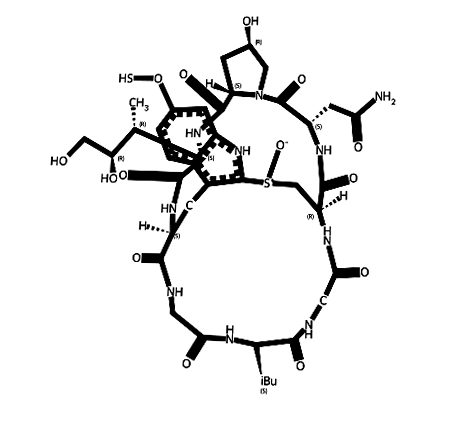 CC[C@H](C)C1NC(=O)CNC(=O)[C@@H]2Cc3c([nH]c4cc(OS)ccc34)[S+]([O-])C[C@H](NC(=O)CNC1=O)C(=O)N[C@@H](CC(N)=O)C(=O)N1C[C@H](O)C[C@H]1C(=O)N[C@@H]([C@@H](C)[C@@H](O)CO)C(=O)N2